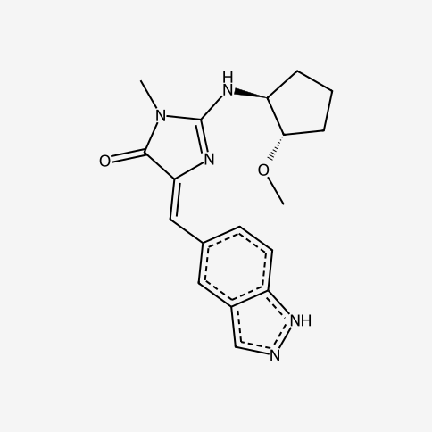 CO[C@H]1CCC[C@@H]1NC1=N/C(=C\c2ccc3[nH]ncc3c2)C(=O)N1C